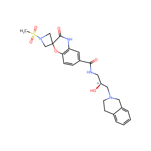 CS(=O)(=O)N1CC2(C1)Oc1ccc(C(=O)NC[C@H](O)CN3CCc4ccccc4C3)cc1NC2=O